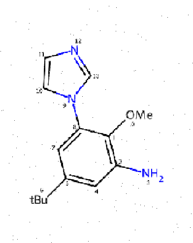 COc1c(N)cc(C(C)(C)C)cc1-n1ccnc1